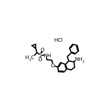 CC(C1CC1)S(=O)(=O)NCCOc1ccc2c(c1)C(Cc1ccccc1)C(N)CC2.Cl